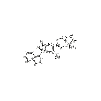 C[C@@H]1OCC2(CCN(c3nc4[nH]nc(-c5cccc6ncccc56)c4nc3CO)CC2)[C@@H]1N